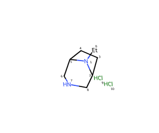 CCN1C2CCC1CNC2.Cl.Cl